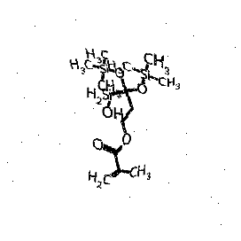 C=C(C)C(=O)OCCC(O[Si](C)(C)C)(O[Si](C)(C)C)[SiH2]O